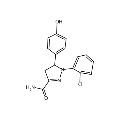 NC(=O)C1=NN(c2ccccc2Cl)C(c2ccc(O)cc2)C1